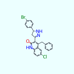 O=c1[nH]c2ccc(Cl)cc2c(Cc2ccccc2)c1C1=NNC(c2ccc(Br)cc2)C1